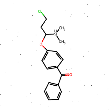 C[SiH](C)C(CCCl)Oc1ccc(C(=O)c2ccccc2)cc1